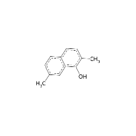 Cc1ccc2ccc(C)c(O)c2c1